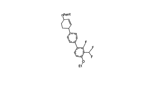 CCCCCC1C=CC(c2ccc(-c3ccc(OCC)c(C(F)F)c3F)cc2)CC1